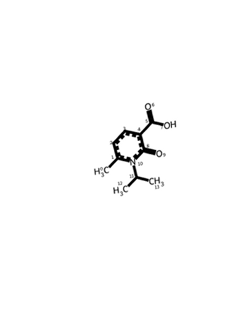 Cc1ccc(C(=O)O)c(=O)n1C(C)C